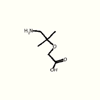 CC(C)(CN)OCC(=O)O